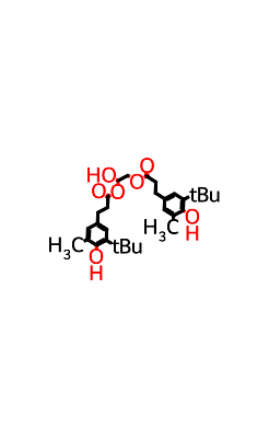 Cc1cc(CCC(=O)OCC(O)OC(=O)CCc2cc(C)c(O)c(C(C)(C)C)c2)cc(C(C)(C)C)c1O